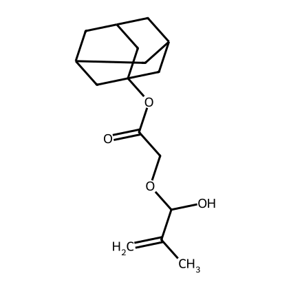 C=C(C)C(O)OCC(=O)OC12CC3CC(CC(C3)C1)C2